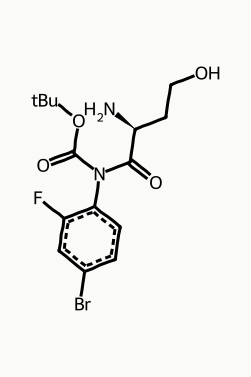 CC(C)(C)OC(=O)N(C(=O)[C@@H](N)CCO)c1ccc(Br)cc1F